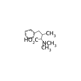 CC(Cc1ccccc1)C(C(=O)O)N(C)C